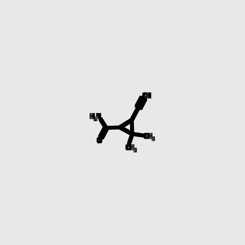 C#CC1C(C(N)=O)C1(C)C